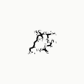 CCCCCCC(C)(C)OC(C)C.CCOC(C)=O